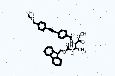 CCOCc1ccc(C#Cc2ccc(C(=O)N[C@H](C(=O)OC)[C@@H](C)NC(=O)OCC3c4ccccc4-c4ccccc43)cc2)cc1